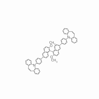 COc1ccc2cc(-c3ccc(N4c5ccccc5C=Cc5ccccc54)cc3)ccc2c1-c1c(OC)ccc2cc(-c3ccc(N4c5ccccc5C=Cc5ccccc54)cc3)ccc12